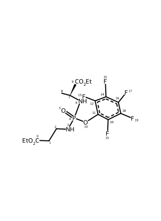 CCOC(=O)CCNP(=O)(N[C@@H](C)C(=O)OCC)Oc1c(F)c(F)c(F)c(F)c1F